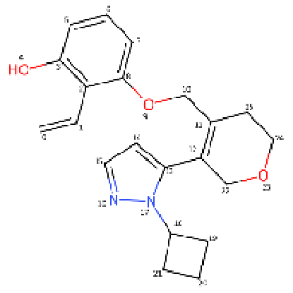 C=Cc1c(O)cccc1OCC1=C(c2ccnn2C2CCC2)COCC1